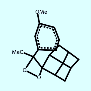 COc1cccc(C2(OC)OOC23C2CC4CC5CC3C452)c1